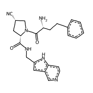 N#C[C@H]1C[C@@H](C(=O)NCc2cc3cnccc3[nH]2)N(C(=O)[C@H](N)CCc2ccccc2)C1